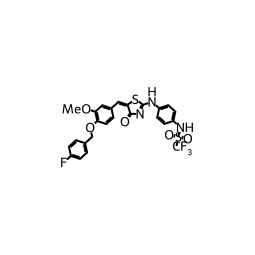 COc1cc(C=C2SC(Nc3ccc(NS(=O)(=O)C(F)(F)F)cc3)=NC2=O)ccc1OCc1ccc(F)cc1